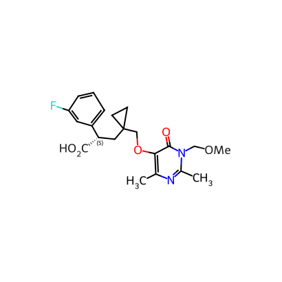 COCn1c(C)nc(C)c(OCC2(C[C@H](C(=O)O)c3cccc(F)c3)CC2)c1=O